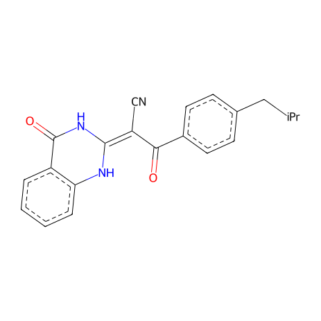 CC(C)Cc1ccc(C(=O)/C(C#N)=C2/NC(=O)c3ccccc3N2)cc1